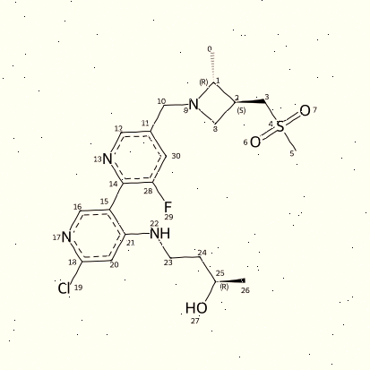 C[C@@H]1[C@@H](CS(C)(=O)=O)CN1Cc1cnc(-c2cnc(Cl)cc2NCC[C@@H](C)O)c(F)c1